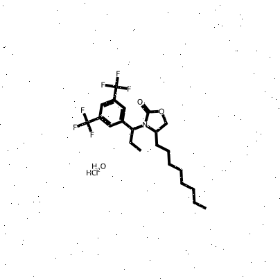 CCCCCCCCC1COC(=O)N1C(CC)c1cc(C(F)(F)F)cc(C(F)(F)F)c1.Cl.O